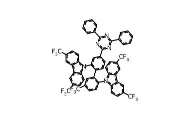 FC(F)(F)c1ccc(-n2c3ccc(C(F)(F)F)cc3c3cc(C(F)(F)F)ccc32)c(-c2ccc(-c3nc(-c4ccccc4)nc(-c4ccccc4)n3)cc2-n2c3ccc(C(F)(F)F)cc3c3cc(C(F)(F)F)ccc32)c1